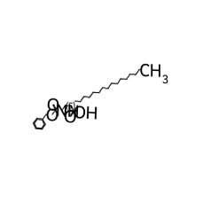 CCCCCCCCCCCCCCCC[C@@H](CNC(=O)OCc1ccccc1)C(=O)O